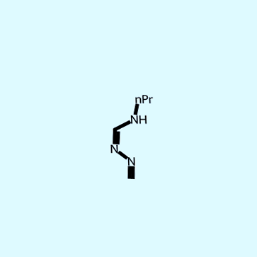 C=N/N=C\NCCC